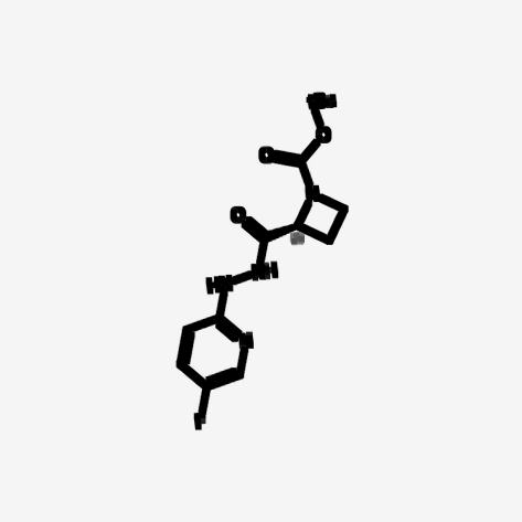 CC(C)(C)OC(=O)N1CC[C@H]1C(=O)NNc1ccc(F)cn1